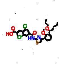 CCCCC(OCCC)c1cccc(-c2csc(NC(=O)c3cc(Cl)c(C=C(C)C(=O)O)c(Cl)c3)n2)c1OC